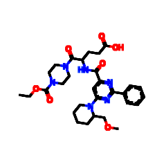 CCOC(=O)N1CCN(C(=O)C(CCC(=O)O)NC(=O)c2cc(N3CCCCC3COC)nc(-c3ccccc3)n2)CC1